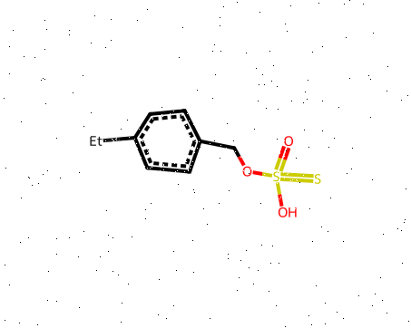 CCc1ccc(COS(=O)(O)=S)cc1